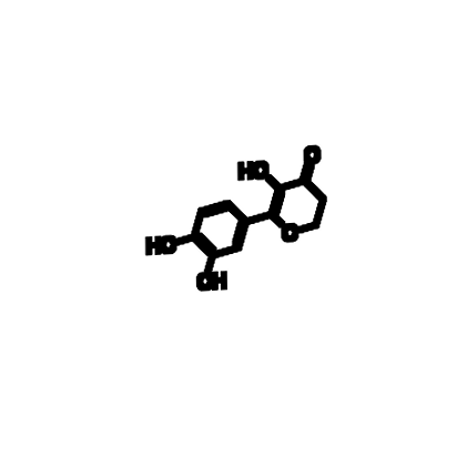 O=C1CCOC(c2ccc(O)c(O)c2)=C1O